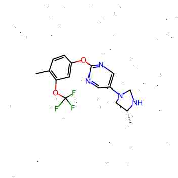 Cc1ccc(Oc2ncc(N3CN[C@H](C)C3)cn2)cc1OC(F)(F)F